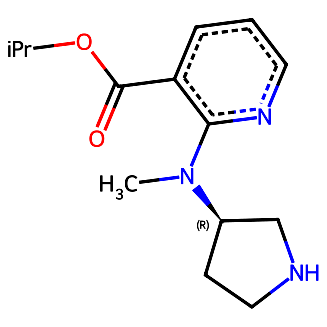 CC(C)OC(=O)c1cccnc1N(C)[C@@H]1CCNC1